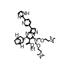 C=C(OCC)c1c([C@H]2C[C@@H]3CC[C@@H](C3)C2)nc2c(-c3ccc(-c4ncc[nH]4)nc3)cnn2c1N(COCC[Si](C)(C)C)COCC[Si](C)(C)C